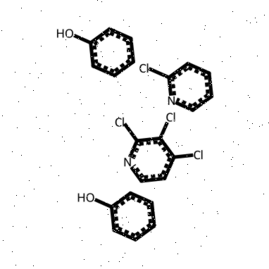 Clc1ccccn1.Clc1ccnc(Cl)c1Cl.Oc1ccccc1.Oc1ccccc1